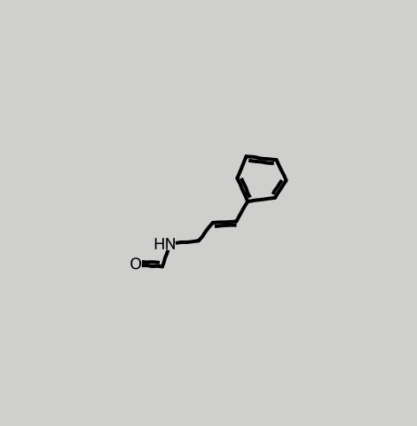 O=CNCC=Cc1ccccc1